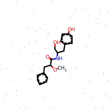 COC(Cc1ccccc1)C(=O)NC(CO)Cc1ccc(O)cc1